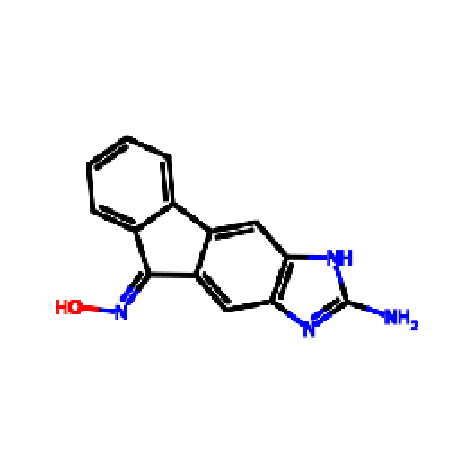 Nc1nc2cc3c(cc2[nH]1)-c1ccccc1/C3=N\O